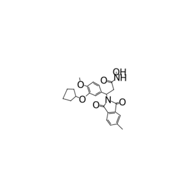 COc1ccc(C(CC(=O)NO)N2C(=O)c3ccc(C)cc3C2=O)cc1OC1CCCC1